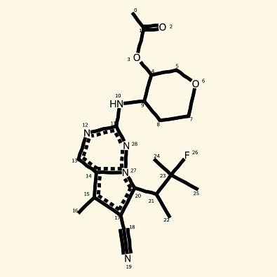 CC(=O)OC1COCCC1Nc1ncc2c(C)c(C#N)c(C(C)C(C)(C)F)n2n1